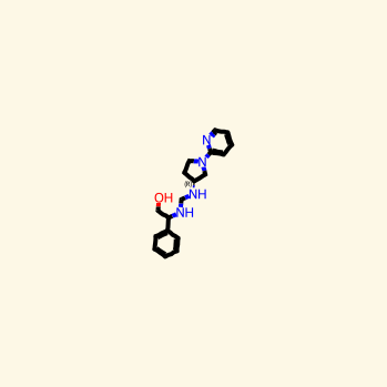 OCC(NCN[C@@H]1CCN(c2ccccn2)C1)c1ccccc1